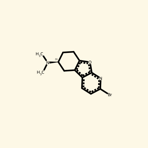 CN(C)[C@H]1CCc2oc3nc(Br)ccc3c2C1